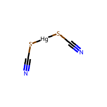 N#C[S][Hg][S]C#N